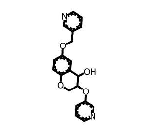 OC1c2cc(OCc3cccnc3)ccc2OCC1Oc1cccnc1